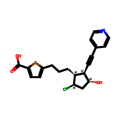 O=C(O)c1ccc(CCC[C@@H]2[C@@H](C#Cc3ccncc3)[C@H](O)C[C@H]2Cl)s1